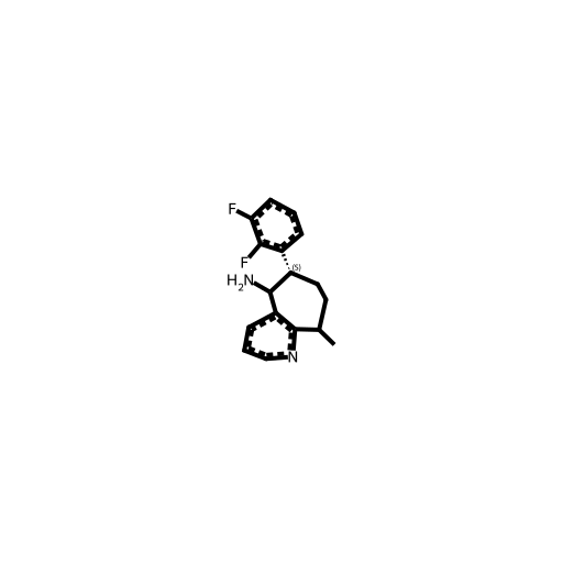 CC1CC[C@@H](c2cccc(F)c2F)C(N)c2cccnc21